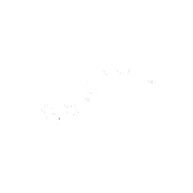 Cn1c(-c2c(F)ccc3[nH]ccc23)cnc1C(=O)Nc1ccc(C(=O)N2CCN(C(=O)C[C@@H]3CCNC3)CC2)c(Cl)c1